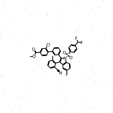 COC(=O)c1ccc(-c2cccc(-c3c(-c4c(C)cccc4C#N)c4cc(F)ccc4n3S(=O)(=O)c3ccc(C(F)F)cc3)c2)c(Cl)c1